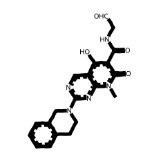 Cn1c(=O)c(C(=O)NCC=O)c(O)c2cnc(N3CCc4ccccc4C3)nc21